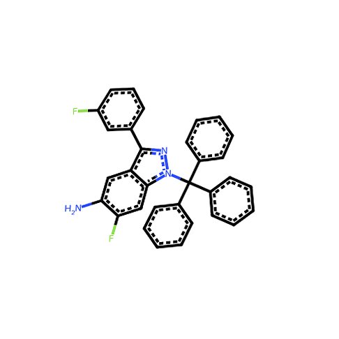 Nc1cc2c(-c3cccc(F)c3)nn(C(c3ccccc3)(c3ccccc3)c3ccccc3)c2cc1F